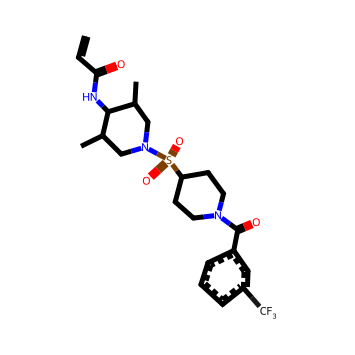 C=CC(=O)NC1C(C)CN(S(=O)(=O)C2CCN(C(=O)c3cccc(C(F)(F)F)c3)CC2)CC1C